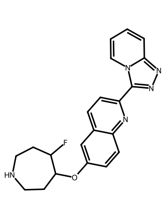 FC1CCNCCC1Oc1ccc2nc(-c3nnc4ccccn34)ccc2c1